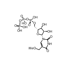 COCc1cn([C@@H]2O[C@H](COP(=O)(O)OP(=O)(O)OP(=O)(O)O)[C@@H](O)[C@H]2O)c(=O)[nH]c1=O